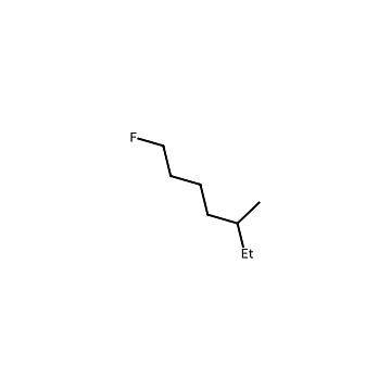 CCC(C)CCCCF